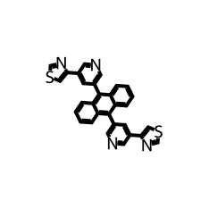 c1ccc2c(-c3cncc(-c4cscn4)c3)c3ccccc3c(-c3cncc(-c4cscn4)c3)c2c1